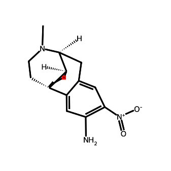 CN1CC[C@@]23CCCC[C@@H]2[C@@H]1Cc1cc([N+](=O)[O-])c(N)cc13